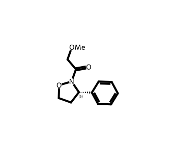 COCC(=O)N1OCC[C@H]1c1ccccc1